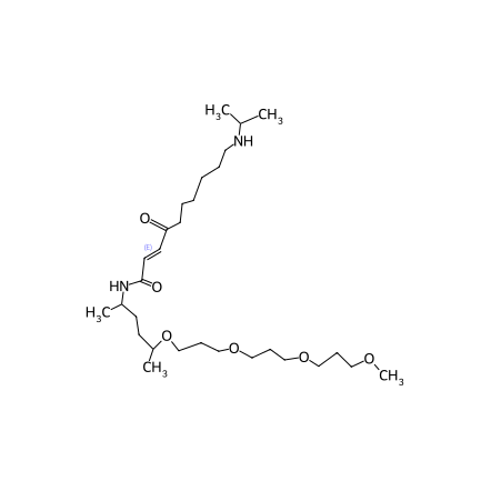 COCCCOCCCOCCCOC(C)CCC(C)NC(=O)/C=C/C(=O)CCCCCCNC(C)C